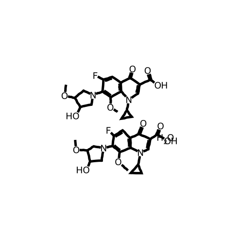 COc1c(N2CC(O)C(OC)C2)c(F)cc2c(=O)c(C(=O)O)cn(C3CC3)c12.COc1c(N2CC(O)C(OC)C2)c(F)cc2c(=O)c(C(=O)O)cn(C3CC3)c12.O